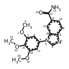 COc1cc(-n2cnc3ccc(C(N)=O)cc32)cc(OC)c1OC